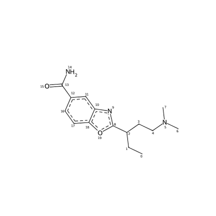 CCC(CCN(C)C)c1nc2cc(C(N)=O)ccc2o1